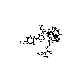 CC(=O)N(C)C(=O)OCC[N+]1(C[C@](O)(c2cc(F)ccc2F)[C@@H](C)c2nc(-c3ccc(C#N)cc3)cs2)C=NC=N1.[I-]